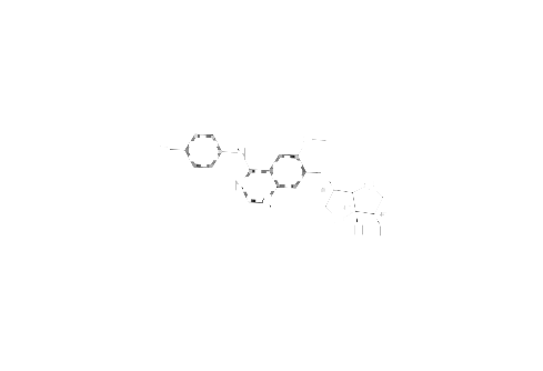 COc1cc2c(Nc3ccc(Br)cc3)ncnc2cc1O[C@@H]1CO[C@@H]2C1OC[C@H]2F